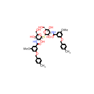 COc1cc(OCc2ccc(C)cc2)cc(C(=O)N[C@H]2[C@@H](O)[C@@H](CO)O[C@@H](S[C@@H]3O[C@H](CO)[C@H](O)[C@H](NC(=O)c4cc(OC)cc(OCc5ccc(C)cc5)c4)[C@H]3O)[C@@H]2O)c1